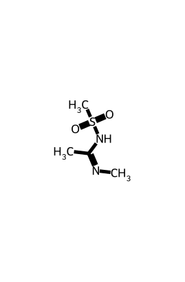 CN=C(C)NS(C)(=O)=O